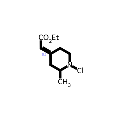 CCOC(=O)/C=C1\CCN(Cl)C(C)C1